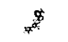 COc1cc(-c2cn(C)c(=O)c(C)c2C)cc(OC)c1CN1CCc2c(cccc2C(C)C)C1